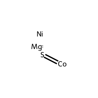 [Mg].[Ni].[S]=[Co]